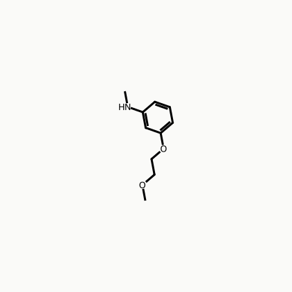 CNc1cccc(OCCOC)c1